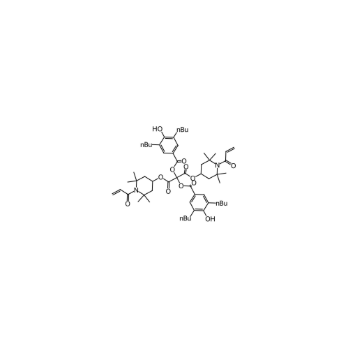 C=CC(=O)N1C(C)(C)CC(OC(=O)C(OC(=O)c2cc(CCCC)c(O)c(CCCC)c2)(OC(=O)c2cc(CCCC)c(O)c(CCCC)c2)C(=O)OC2CC(C)(C)N(C(=O)C=C)C(C)(C)C2)CC1(C)C